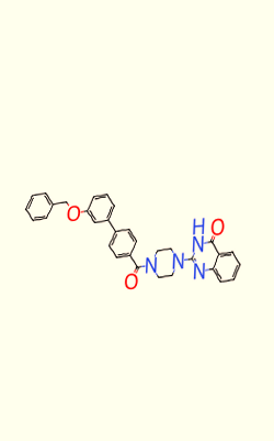 O=C(c1ccc(-c2cccc(OCc3ccccc3)c2)cc1)N1CCN(c2nc3ccccc3c(=O)[nH]2)CC1